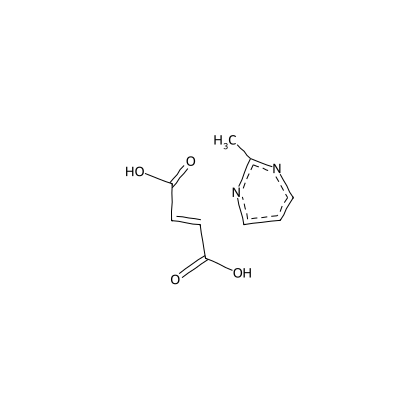 Cc1ncccn1.O=C(O)C=CC(=O)O